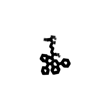 N=C(N)NCCCC(N)C(=O)N(CC(c1ccccc1)c1ccccc1)C(=O)C(c1ccccc1)c1ccccc1